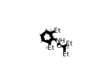 CCc1cccc(CC)c1NOC(CC)CC